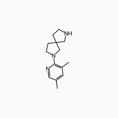 Cc1cnc(N2CCC3(CCNC3)C2)c(C)c1